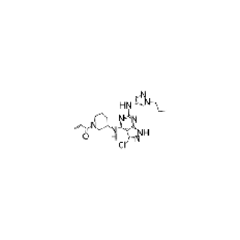 C=CC(=O)N1CCCC(Nc2nc(Nc3cnn(CCC)c3)nc3[nH]nc(Cl)c23)C1